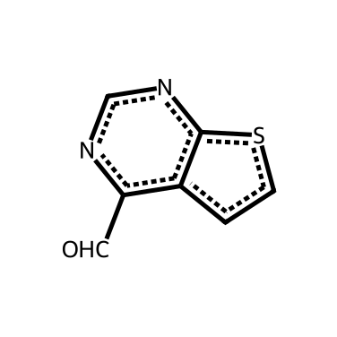 O=Cc1ncnc2sccc12